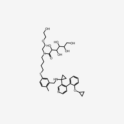 Cc1ccc(SCCCCN(CCOCCO)C(=O)C(O)C(O)C(O)C(O)CO)cc1CNC1(c2cnccc2-c2ccccc2OC2CC2)CC1